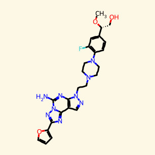 CO[C@H](CO)c1ccc(N2CCN(CCn3ncc4c3nc(N)n3nc(-c5ccco5)nc43)CC2)c(F)c1